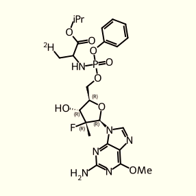 [2H]CC(NP(=O)(OC[C@H]1O[C@@H](n2cnc3c(OC)nc(N)nc32)[C@](C)(F)[C@@H]1O)Oc1ccccc1)C(=O)OC(C)C